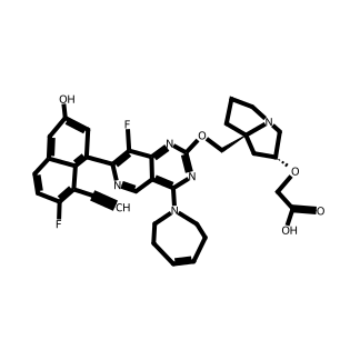 C#Cc1c(F)ccc2cc(O)cc(-c3ncc4c(N5CCC=CCC5)nc(OC[C@@]56CCCN5C[C@H](OCC(=O)O)C6)nc4c3F)c12